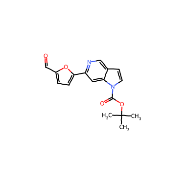 CC(C)(C)OC(=O)n1ccc2cnc(-c3ccc(C=O)o3)cc21